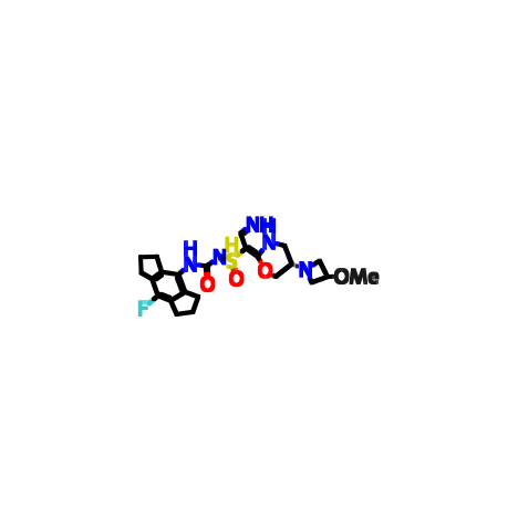 COC1CN([C@H]2CN/C(=C(C=N)/[SH](=O)=N/C(=O)Nc3c4c(c(F)c5c3CCC5)CCC4)OC2)C1